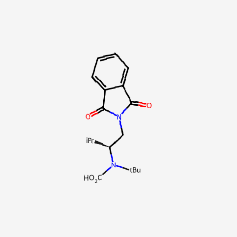 CC(C)[C@@H](CN1C(=O)c2ccccc2C1=O)N(C(=O)O)C(C)(C)C